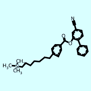 C[Si](C)(C)CCCCCCCc1ccc(C(=O)Oc2cc(C#N)ccc2-c2ccccc2)cc1